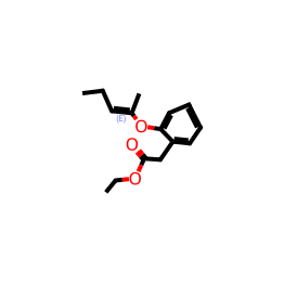 CC/C=C(\C)Oc1ccccc1CC(=O)OCC